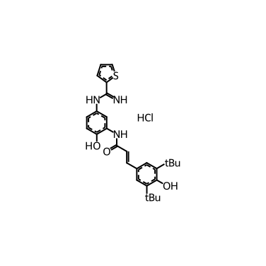 CC(C)(C)c1cc(C=CC(=O)Nc2cc(NC(=N)c3cccs3)ccc2O)cc(C(C)(C)C)c1O.Cl